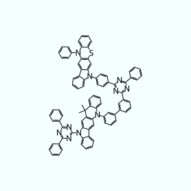 CC1(C)c2ccccc2N(c2cccc(-c3cccc(-c4nc(-c5ccccc5)nc(-c5ccc(-n6c7ccccc7c7cc8c(cc76)Sc6ccccc6N8c6ccccc6)cc5)n4)c3)c2)c2cc3c4ccccc4n(-c4nc(-c5ccccc5)nc(-c5ccccc5)n4)c3cc21